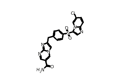 NC(=O)c1cnc2nc(Cc3ccc(S(=O)(=O)c4cnc5ccc(Cl)cn45)cc3)cn2c1